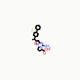 CC(c1ccc(-c2ccccc2)c(F)c1)c1cc(/N=C(/N)N2CCCC2C(=O)O)no1